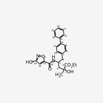 CCOC(=O)[C@](C)(O)CC(Cc1ccc(-c2ccccc2)cc1)NC(=O)c1cc(O)no1